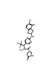 CN(C(=O)[C@@H]1CNC(=O)C1)C(c1cnc(NC2Cc3ccc(Cl)c(F)c3C2)nc1)C(F)(F)F